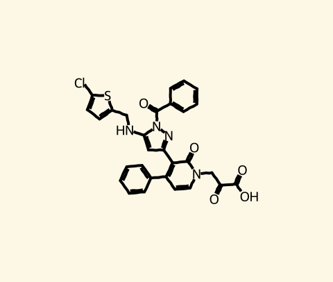 O=C(O)C(=O)Cn1ccc(-c2ccccc2)c(-c2cc(NCc3ccc(Cl)s3)n(C(=O)c3ccccc3)n2)c1=O